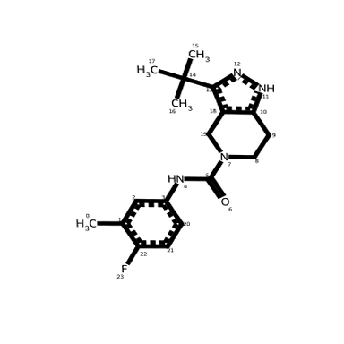 Cc1cc(NC(=O)N2CCc3[nH]nc(C(C)(C)C)c3C2)ccc1F